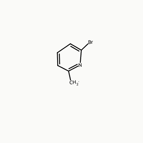 [CH2]c1cccc(Br)n1